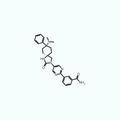 CN(C)[C@]1(c2ccccc2)CC[C@]2(CC1)CN(c1cnc(-c3cccc(C(N)=O)c3)nc1)C(=O)N2